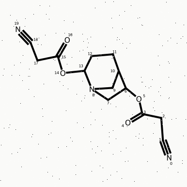 N#CCC(=O)OC1CN2CC1CCC2OC(=O)CC#N